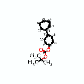 CC(C)(C)OC(=O)Oc1ccc(-c2[c]cccc2)cc1